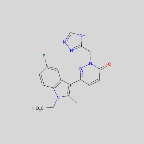 Cc1c(-c2ccc(=O)n(Cc3nnc[nH]3)n2)c2cc(F)ccc2n1CC(=O)O